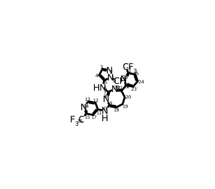 Cn1nccc1NC1=N/C(Nc2ccnc(C(F)(F)F)c2)=C\CC/C(c2cccc(C(F)(F)F)n2)=N\1